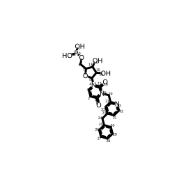 O=c1ccn(C2OC(COP(O)O)C(O)C2O)c(=O)n1Cc1cc(Cc2ccccc2)ccn1